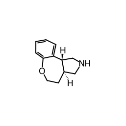 c1ccc2c(c1)OCC[C@@H]1CNC[C@@H]21